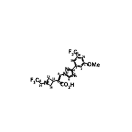 COc1cc(-c2ncn(/C=C(\C(=O)O)C3CN(CC(F)(F)F)C3)n2)cc(C(F)(F)F)c1